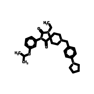 CCN1C(=O)N(c2cccc(OC(C)C)c2)C(=O)C12CCN(Cc1ccc(N3CCCC3)cc1)CC2